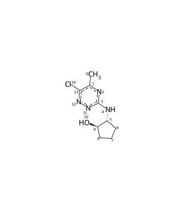 Cc1nc(N[C@@H]2CCC[C@H]2O)nnc1Cl